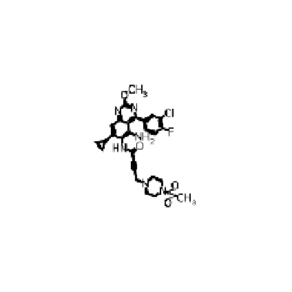 COc1nc(-c2ccc(F)c(Cl)c2)c2c(N)c(NC(=O)C#CCN3CCN(S(C)(=O)=O)CC3)c(C3CC3)cc2n1